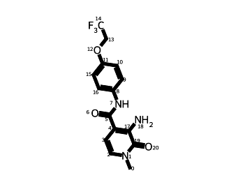 Cn1ccc(C(=O)Nc2ccc(OCC(F)(F)F)cc2)c(N)c1=O